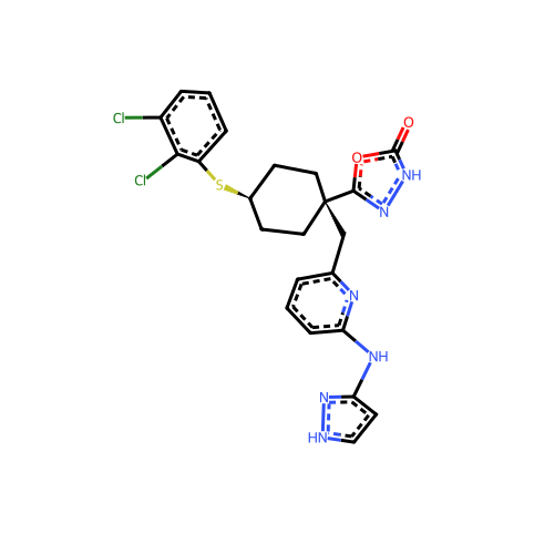 O=c1[nH]nc([C@]2(Cc3cccc(Nc4cc[nH]n4)n3)CC[C@@H](Sc3cccc(Cl)c3Cl)CC2)o1